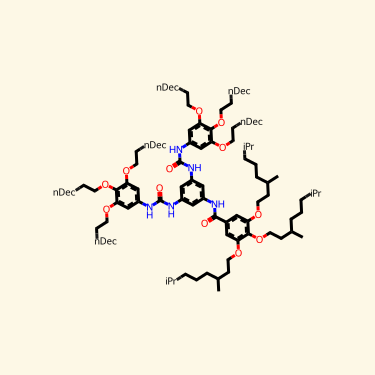 CCCCCCCCCCCCOc1cc(NC(=O)Nc2cc(NC(=O)Nc3cc(OCCCCCCCCCCCC)c(OCCCCCCCCCCCC)c(OCCCCCCCCCCCC)c3)cc(NC(=O)c3cc(OCCC(C)CCCC(C)C)c(OCCC(C)CCCC(C)C)c(OCCC(C)CCCC(C)C)c3)c2)cc(OCCCCCCCCCCCC)c1OCCCCCCCCCCCC